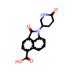 O=C1CCC(N2C(=O)c3ccc(C(=O)O)c4cccc2c34)CN1